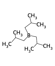 CC(C)CB(CC(C)C)CC(C)C